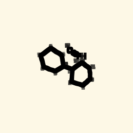 C1CCC(C2CCCCC2)CC1.O=P